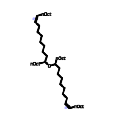 CCCCCCCC/C=C\CCCCCCCC(CCCCCCCC)OC(CCCCCCCC)CCCCCCC/C=C\CCCCCCCC